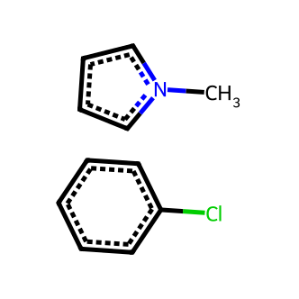 Clc1ccccc1.Cn1cccc1